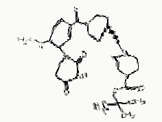 COc1ccc(C(=O)N2CCC(CN3CCN(C(=O)OC(C)(C)C)CC3)CC2)cc1N1CCC(=O)NC1=O